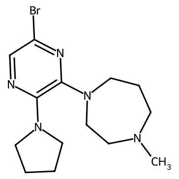 CN1CCCN(c2nc(Br)cnc2N2CCCC2)CC1